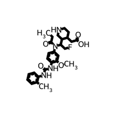 CCC(=O)N(c1ccc(NC(=O)Nc2ccccc2C)c(OC)c1)C(CF)C1CNCCC1CC(=O)O